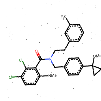 CNc1ccc(Cl)c(Cl)c1C(=O)N(CCc1cccc(C(F)(F)F)c1)Cc1ccc(C2(OC)CC2)cc1